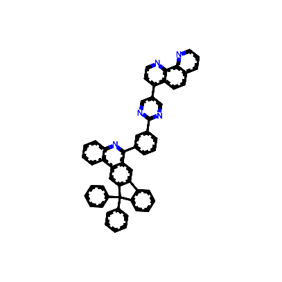 c1ccc(C2(c3ccccc3)c3ccccc3-c3cc4c(-c5cccc(-c6ncc(-c7ccnc8c7ccc7cccnc78)cn6)c5)nc5ccccc5c4cc32)cc1